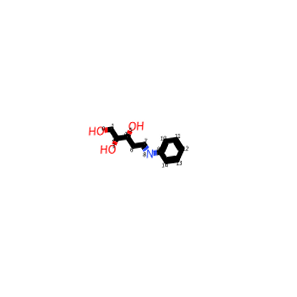 OCC(O)C(O)CC=Nc1ccccc1